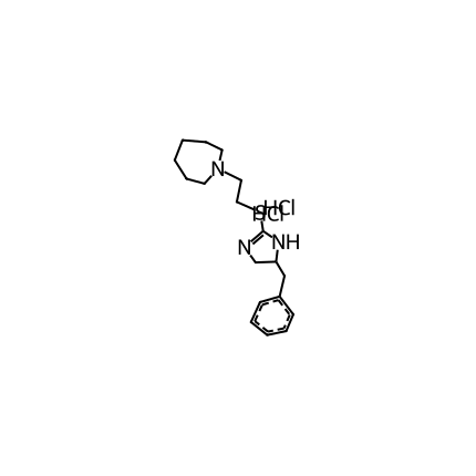 Cl.Cl.c1ccc(CC2CN=C(SCCN3CCCCCC3)N2)cc1